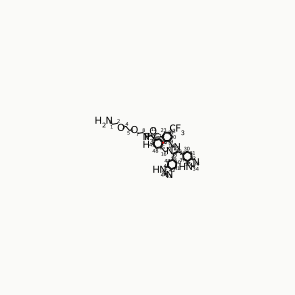 NCCOCCOCCNC(=O)c1ccc(Cn2c(-c3cc(C(F)(F)F)cc(C(F)(F)F)c3)nc(-c3ccc4nc[nH]c4c3)c2-c2ccc3nc[nH]c3c2)cc1